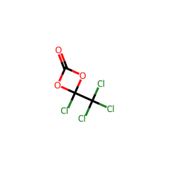 O=C1OC(Cl)(C(Cl)(Cl)Cl)O1